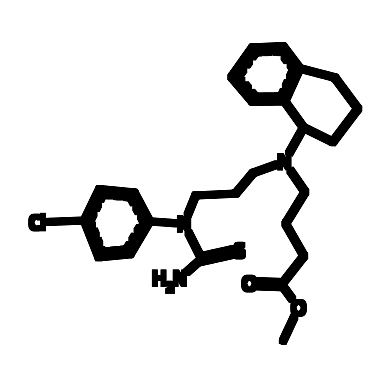 COC(=O)CCCN(CCCN(C(N)=S)c1ccc(Cl)cc1)C1CCCc2ccccc21